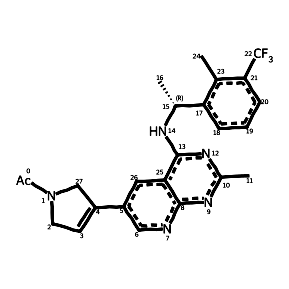 CC(=O)N1CC=C(c2cnc3nc(C)nc(N[C@H](C)c4cccc(C(F)(F)F)c4C)c3c2)C1